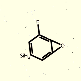 Fc1cccc2c1O2.[SiH4]